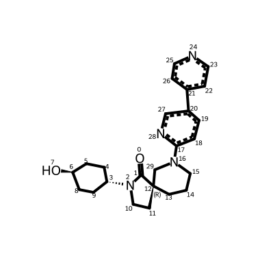 O=C1N([C@H]2CC[C@H](O)CC2)CC[C@@]12CCCN(c1ccc(-c3ccncc3)cn1)C2